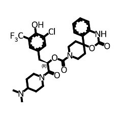 CN(C)C1CCN(C(=O)[C@@H](Cc2cc(Cl)c(O)c(C(F)(F)F)c2)OC(=O)N2CCC3(CC2)OC(=O)Nc2ccccc23)CC1